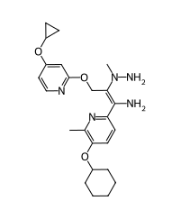 Cc1nc(/C(N)=C(\COc2cc(OC3CC3)ccn2)N(C)N)ccc1OC1CCCCC1